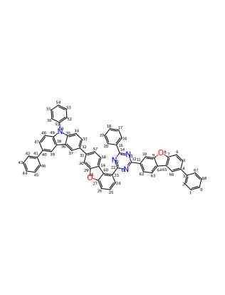 c1ccc(-c2ccc3oc4cc(-c5nc(-c6ccccc6)nc(-c6cccc7oc8cc(-c9ccc%10c(c9)c9cc(-c%11ccccc%11)ccc9n%10-c9ccccc9)ccc8c67)n5)ccc4c3c2)cc1